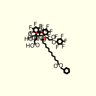 O=C(O)CCC(O)(c1c(F)c(F)c(F)c(F)c1F)C(COCCC(=O)Oc1c(F)c(F)c(F)c(F)c1F)(NC(=O)CCCCCCCCCCC(=O)OCc1ccccc1)C(O)(CCC(=O)O)c1c(F)c(F)c(F)c(F)c1F